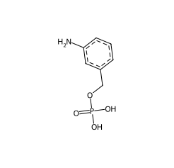 Nc1cccc(COP(=O)(O)O)c1